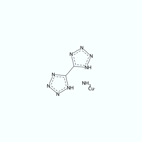 N.[Cu].n1n[nH]c(-c2nnn[nH]2)n1